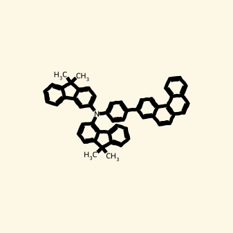 CC1(C)c2ccccc2-c2cc(N(c3ccc(-c4ccc5c(ccc6ccc7ccccc7c65)c4)cc3)c3cccc4c3-c3ccccc3C4(C)C)ccc21